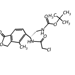 Cc1c([C@H](CNC(=O)OC(C)(C)C)NC(=O)CCl)ccc2c1COC2=O